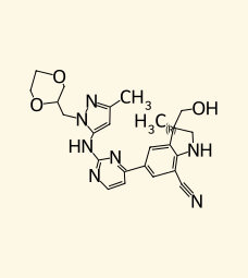 Cc1cc(Nc2nccc(-c3cc(C#N)c4c(c3)[C@@](C)(CO)CN4)n2)n(CC2COCCO2)n1